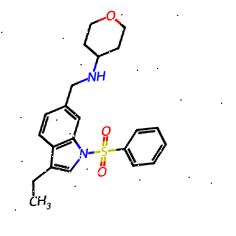 CCc1cn(S(=O)(=O)c2ccccc2)c2cc(CNC3CCOCC3)ccc12